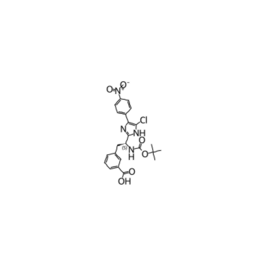 CC(C)(C)OC(=O)N[C@@H](Cc1cccc(C(=O)O)c1)c1nc(-c2ccc([N+](=O)[O-])cc2)c(Cl)[nH]1